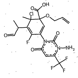 C=CCOC1(C(=O)O)C=C(n2c(=O)cc(C(F)(F)F)n(N)c2=O)C(F)=C(C(C)C=O)C1(C)Cl